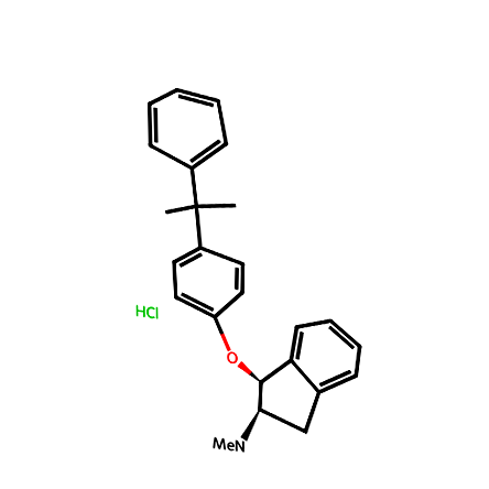 CN[C@@H]1Cc2ccccc2[C@@H]1Oc1ccc(C(C)(C)c2ccccc2)cc1.Cl